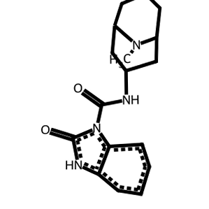 CN1C2CCCC1CC(NC(=O)n1c(=O)[nH]c3ccccc31)C2